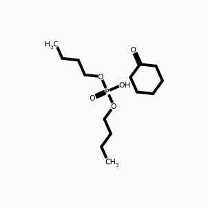 CCCCOP(=O)(O)OCCCC.O=C1CCCCC1